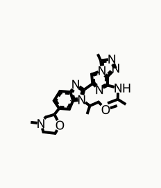 COCC(C)n1c(-c2cn3c(C)nnc3c(NC(C)C)n2)nc2ccc(C3CN(C)CCO3)cc21